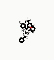 CS/C(=N\C(=O)c1ccccc1)N[C@@](Cc1ccccc1)(c1ccc(F)cc1)c1cc(F)cc(C(F)(F)F)c1